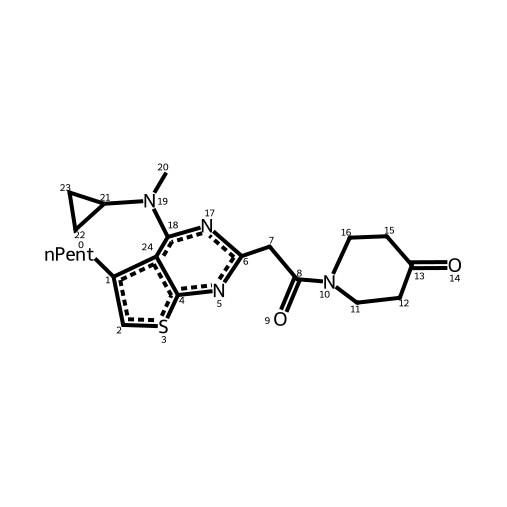 CCCCCc1csc2nc(CC(=O)N3CCC(=O)CC3)nc(N(C)C3CC3)c12